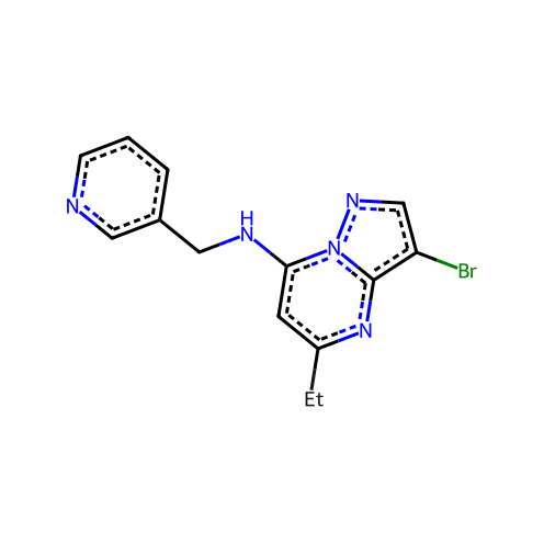 CCc1cc(NCc2cccnc2)n2ncc(Br)c2n1